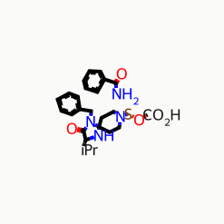 CC(C)C1NC2(CCN(SOC(=O)O)CC2)N(Cc2ccccc2)C1=O.NC(=O)c1ccccc1